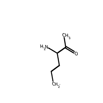 [CH2]CCC(N)C(C)=O